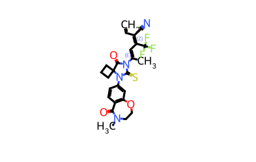 C=C/C(C#N)=C(\C=C(/C)N1C(=O)C2(CCC2)N(c2ccc3c(c2)OCCN(C)C3=O)C1=S)C(F)(F)F